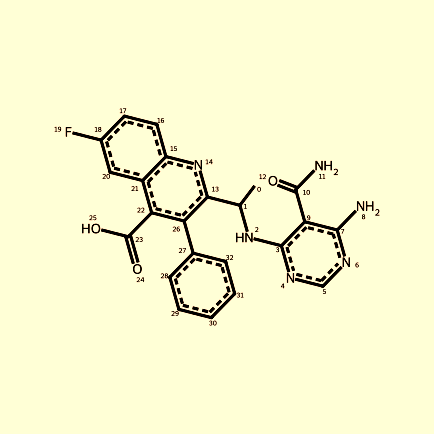 CC(Nc1ncnc(N)c1C(N)=O)c1nc2ccc(F)cc2c(C(=O)O)c1-c1ccccc1